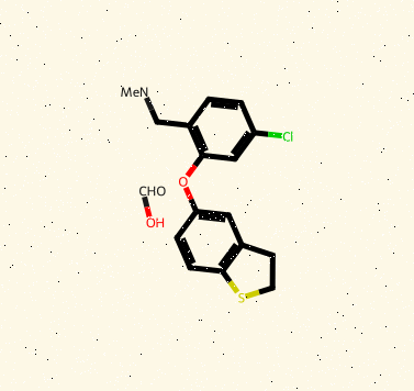 CNCc1ccc(Cl)cc1Oc1ccc2c(c1)CCS2.O=CO